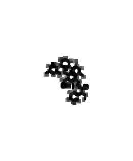 CC[C@H](C(=O)NCc1ccc(CN2[C@@H](c3ncc(C)cc3C)CCC[C@H]2c2ncc(C)cc2C)c(CO)c1)c1ccccc1